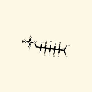 O=S(=O)(O)OCC(F)(F)C(F)(F)C(F)(F)C(F)(F)C(F)(F)C(F)F